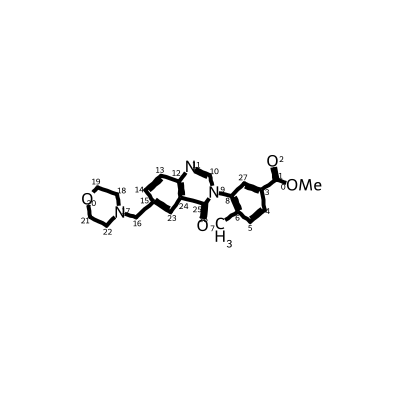 COC(=O)c1ccc(C)c(-n2cnc3ccc(CN4CCOCC4)cc3c2=O)c1